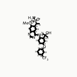 COc1cc2ncnc(Nc3ccc(Oc4cccc(C(F)(F)F)c4)cc3C(C)(C)O)c2cc1C(C)S(N)(=O)=O